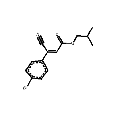 CC(C)COC(=O)C=C(C#N)c1ccc(Br)cc1